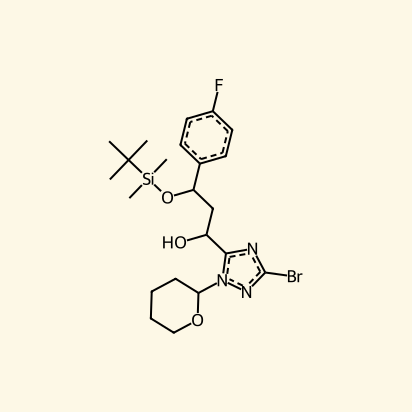 CC(C)(C)[Si](C)(C)OC(CC(O)c1nc(Br)nn1C1CCCCO1)c1ccc(F)cc1